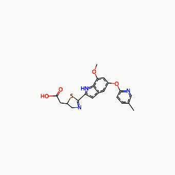 COc1cc(Oc2ccc(C)cn2)cc2cc(C3=NCC(CC(=O)O)S3)[nH]c12